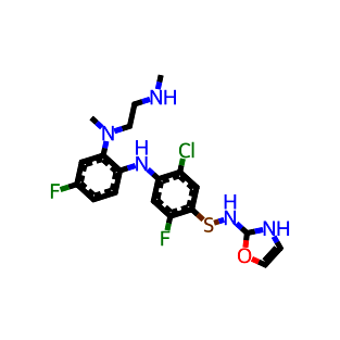 CNCCN(C)c1cc(F)ccc1Nc1cc(F)c(SNC2NC=CO2)cc1Cl